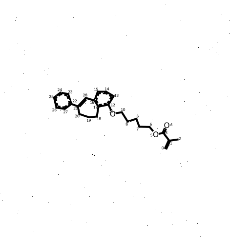 C=C(C)C(=O)OCCCCCOc1cccc2c1CCCC(c1ccccc1)=C2